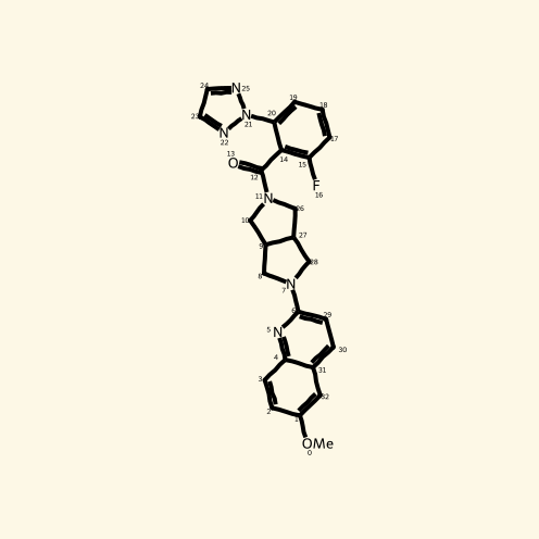 COc1ccc2nc(N3CC4CN(C(=O)c5c(F)cccc5-n5nccn5)CC4C3)ccc2c1